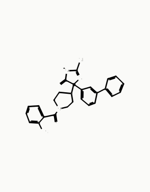 CN1C(=O)C(c2cccc(-c3ccccc3)c2)(C2CCN(C(=O)c3ccccc3C#N)CC2)N=C1N